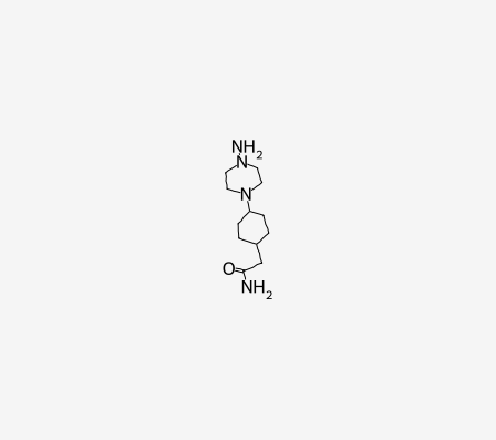 NC(=O)CC1CCC(N2CCN(N)CC2)CC1